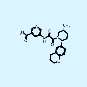 C[C@@H]1CC[C@@H](c2ccc3c(c2)CCCO3)N(C(=O)C(=O)Nc2cncc(C(N)=O)c2)C1